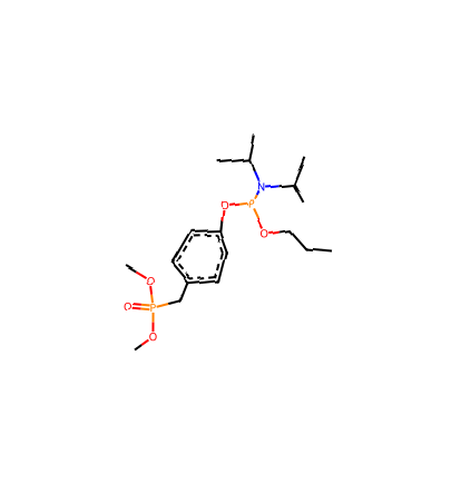 CCCOP(Oc1ccc(CP(=O)(OC)OC)cc1)N(C(C)C)C(C)C